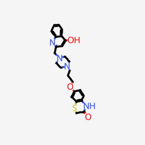 O=C1CSc2cc(OCCCN3CCN(Cc4cc(O)c5ccccc5n4)CC3)ccc2N1